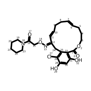 O=C1OCCC/C=C/CC/C=C/C(=NOCC(=O)N2CCCCC2)Cc2c(Cl)c(O)cc(O)c21